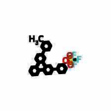 Cc1cccc(-c2ccc3c4ccccc4c4ccc(-c5cccc(OS(=O)(=O)C(F)(F)F)c5)cc4c3c2)c1